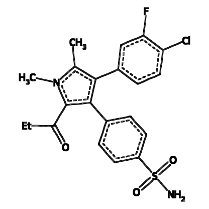 CCC(=O)c1c(-c2ccc(S(N)(=O)=O)cc2)c(-c2ccc(Cl)c(F)c2)c(C)n1C